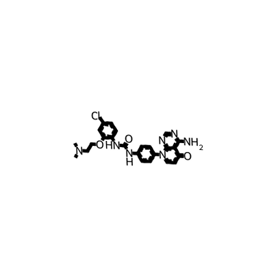 CN(C)CCOc1cc(Cl)ccc1NC(=O)Nc1ccc(-n2ccc(=O)c3c(N)ncnc32)cc1